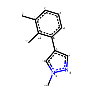 Cc1cccc(-c2cnn(C)c2)c1C